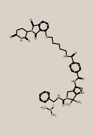 CN(C)C[C@@H](NC(=O)N1Cc2c(NC(=O)c3ccc(C(=O)NCCCCCOc4cccc5c4C(=O)N(C4CCC(=O)NC4=O)C5=O)cc3)n[nH]c2C1(C)C)c1ccccc1